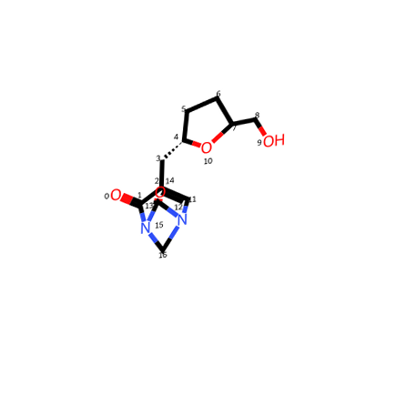 O=c1c(C[C@@H]2CCC(CO)O2)cn2c(=O)n1C2